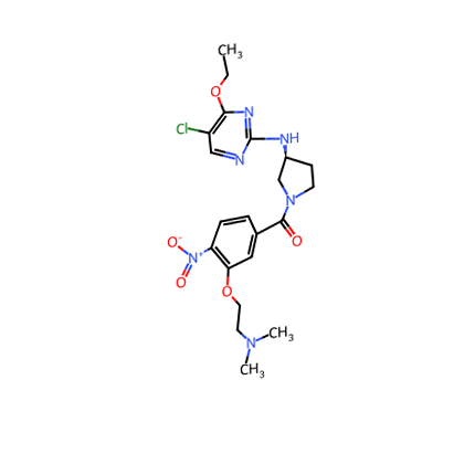 CCOc1nc(N[C@H]2CCN(C(=O)c3ccc([N+](=O)[O-])c(OCCN(C)C)c3)C2)ncc1Cl